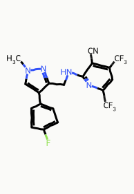 Cn1cc(-c2ccc(F)cc2)c(CNc2nc(C(F)(F)F)cc(C(F)(F)F)c2C#N)n1